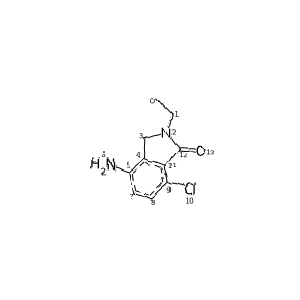 CCN1Cc2c(N)ccc(Cl)c2C1=O